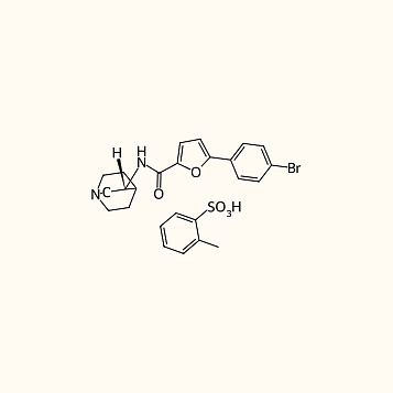 Cc1ccccc1S(=O)(=O)O.O=C(N[C@H]1CN2CCC1CC2)c1ccc(-c2ccc(Br)cc2)o1